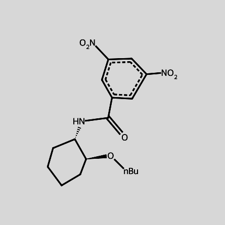 CCCCO[C@H]1CCCC[C@@H]1NC(=O)c1cc([N+](=O)[O-])cc([N+](=O)[O-])c1